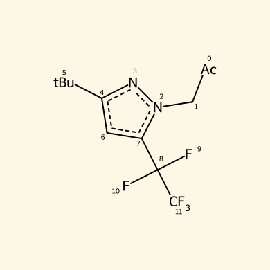 CC(=O)Cn1nc(C(C)(C)C)cc1C(F)(F)C(F)(F)F